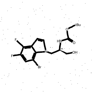 CC(C)(C)OC(=O)N[C@@H](CO)Cn1ccc2c(F)c(F)cc(Br)c21